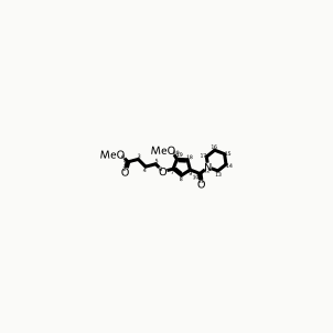 COC(=O)CCCOC1=CC(C(=O)N2CCCCC2)C=C1OC